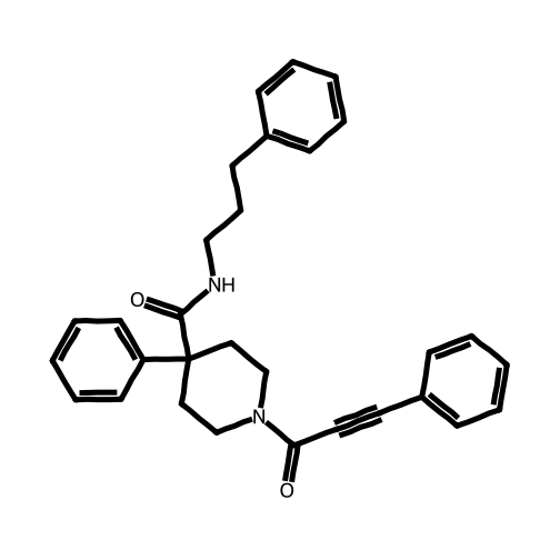 O=C(C#Cc1ccccc1)N1CCC(C(=O)NCCCc2ccccc2)(c2ccccc2)CC1